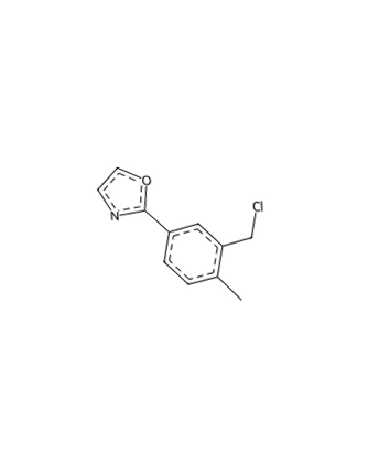 Cc1ccc(-c2ncco2)cc1CCl